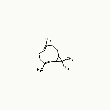 C/C1=C\C2C(CC/C(C)=C/CC1)C2(C)C